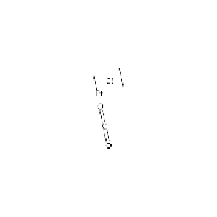 CC.CCC.O=C=O.[C]